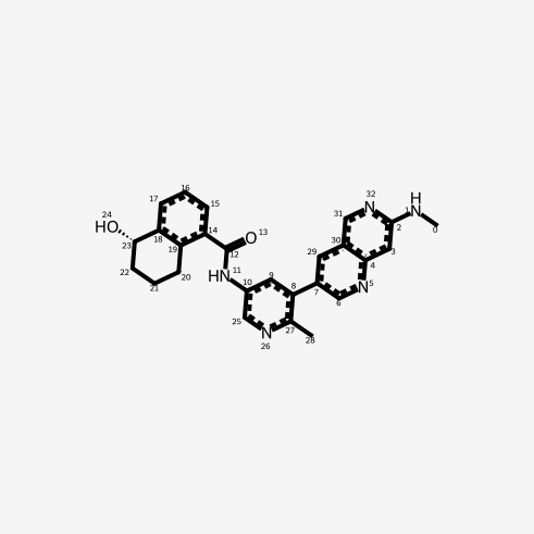 CNc1cc2ncc(-c3cc(NC(=O)c4cccc5c4CCC[C@@H]5O)cnc3C)cc2cn1